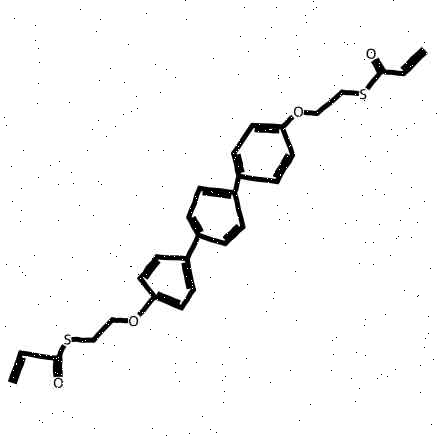 C=CC(=O)SCCOc1ccc(-c2ccc(-c3ccc(OCCSC(=O)C=C)cc3)cc2)cc1